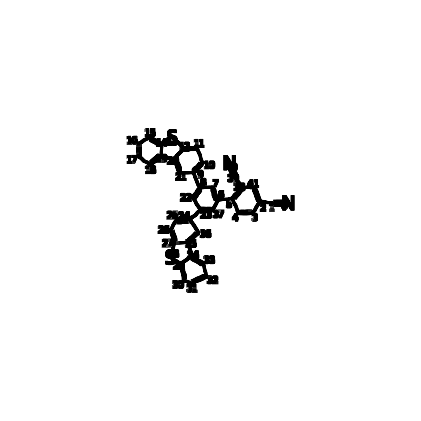 N#Cc1ccc(-c2cc(-c3ccc4sc5ccccc5c4c3)cc(-c3ccc4sc5ccccc5c4c3)c2)c(C#N)c1